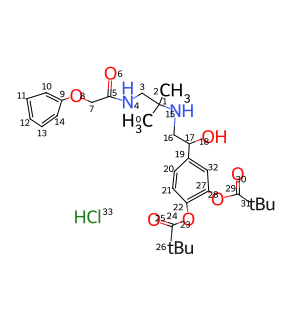 CC(C)(CNC(=O)COc1ccccc1)NCC(O)c1ccc(OC(=O)C(C)(C)C)c(OC(=O)C(C)(C)C)c1.Cl